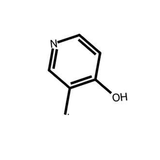 [CH2]c1cnccc1O